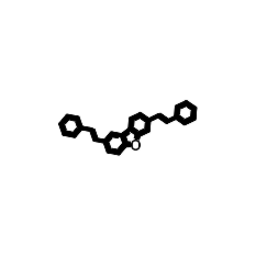 C(=Cc1ccc2c(c1)oc1ccc(C=Cc3ccccc3)cc12)c1ccccc1